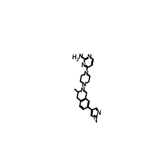 CC1Cc2ccc(-c3cnn(C)c3)cc2CN1N1CCN(c2ccnc(N)n2)CC1